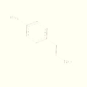 CC(C)(C)c1ccc(CC[N+](=O)[O-])cc1